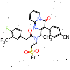 CCS(=O)(=O)CCN(C(=O)Cc1ccc(F)c(C(F)(F)F)c1)[C@@H](C)c1nc2ccccn2c(=O)c1-c1ccc(C#N)cc1